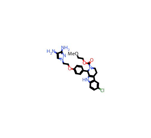 COCCOC(=O)N1CCc2c([nH]c3ccc(Cl)cc23)C1c1ccc(OCCn2cc(N)c(N)n2)cc1